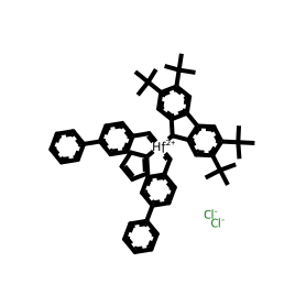 CC(C)(C)c1cc2c(cc1C(C)(C)C)[CH]([Hf+2](=[CH]c1ccc(-c3ccccc3)cc1)(=[CH]c1ccc(-c3ccccc3)cc1)[C]1=CC=CC1)c1cc(C(C)(C)C)c(C(C)(C)C)cc1-2.[Cl-].[Cl-]